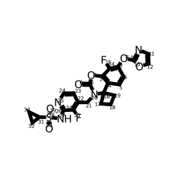 O=C1Oc2c(ccc(Oc3ncco3)c2F)C2(CCC2)N1Cc1ccnc(NS(=O)(=O)C2CC2)c1F